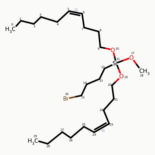 CCCCC/C=C\CCCO[Si](CCCCBr)(OC)OCCC/C=C\CCCCC